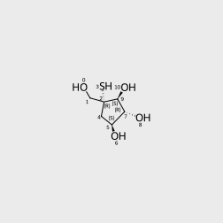 OC[C@]1(S)C[C@H](O)[C@@H](O)[C@@H]1O